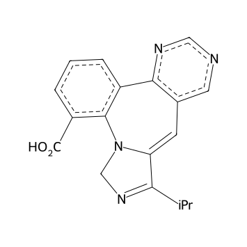 CC(C)C1=NCN2C1=Cc1cncnc1-c1cccc(C(=O)O)c12